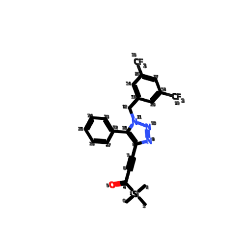 C[Si](C)(C)C(=O)C#Cc1nnn(Cc2cc(C(F)(F)F)cc(C(F)(F)F)c2)c1-c1ccccc1